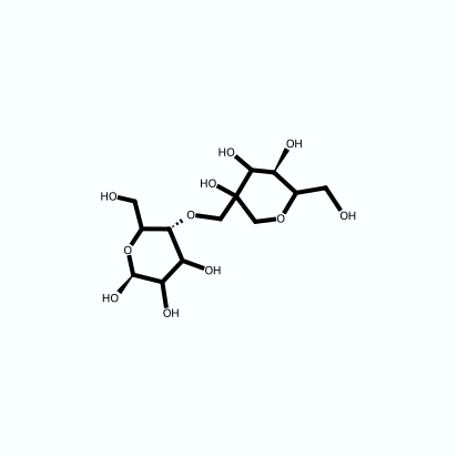 OCC1OCC(O)(CO[C@H]2C(CO)O[C@H](O)C(O)C2O)C(O)[C@H]1O